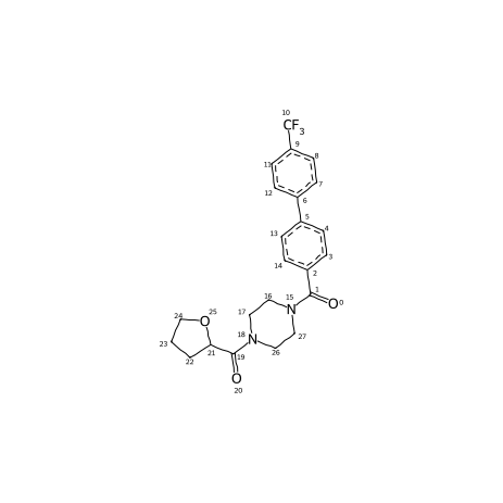 O=C(c1ccc(-c2ccc(C(F)(F)F)cc2)cc1)N1CCN(C(=O)C2CCCO2)CC1